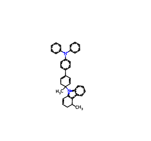 CC1CC=Cc2c1c1ccccc1n2C1(C)C=CC(c2ccc(N(c3ccccc3)c3ccccc3)cc2)=CC1